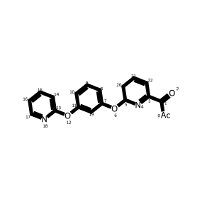 CC(=O)C(=O)C1=NC(Oc2cccc(Oc3ccccn3)c2)CC=C1